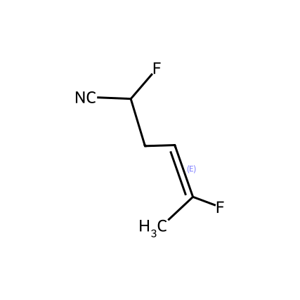 C/C(F)=C\CC(F)C#N